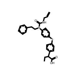 C=CCNC(=O)N(CCc1ccccc1)c1ccc(Sc2ccc(C(CC)C(=O)O)cc2)cc1